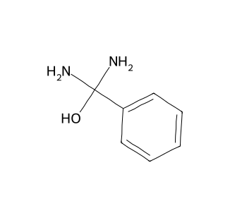 NC(N)(O)c1ccccc1